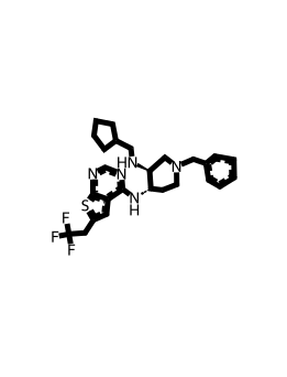 FC(F)(F)Cc1cc2c(N[C@H]3CCN(Cc4ccccc4)C[C@@H]3NCC3CCCC3)ncnc2s1